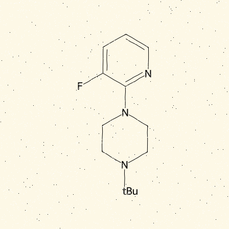 CC(C)(C)N1CCN(c2ncccc2F)CC1